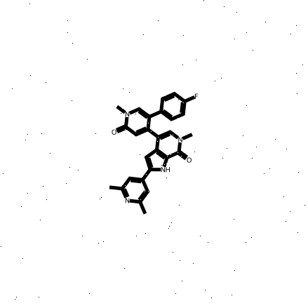 Cc1cc(-c2cc3c(-c4cc(=O)n(C)cc4-c4ccc(F)cc4)cn(C)c(=O)c3[nH]2)cc(C)n1